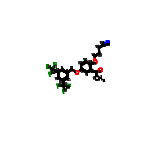 CC(=O)c1cc(OCc2cc(C(F)(F)F)cc(C(F)(F)F)c2)ccc1OCCCC#N